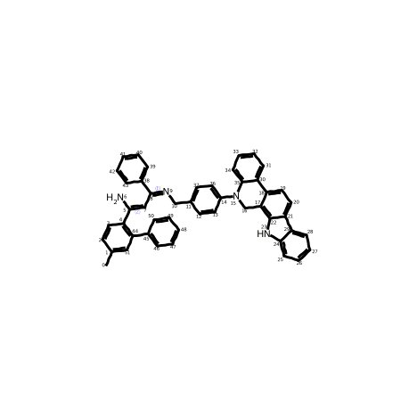 Cc1ccc(/C(N)=C/C(=N\Cc2ccc(N3Cc4c(ccc5c4[nH]c4ccccc45)-c4ccccc43)cc2)c2ccccc2)c(-c2ccccc2)c1